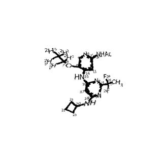 [2H]C([2H])([2H])C([2H])([2H])Oc1cnc(NC(C)=O)cc1Nc1cc(NC2CCC2)nc(C(C)(F)F)n1